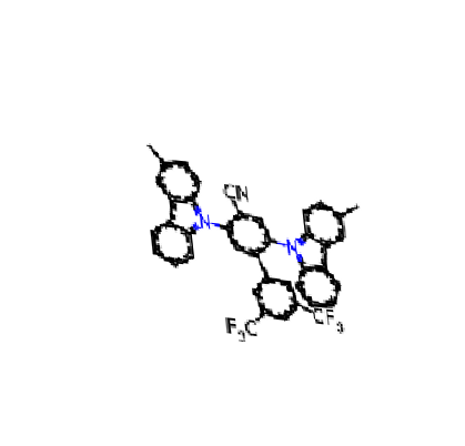 Cc1ccc2c(c1)c1ccccc1n2-c1cc(-c2cc(C(F)(F)F)cc(C(F)(F)F)c2)c(-n2c3ccccc3c3cc(C)ccc32)cc1C#N